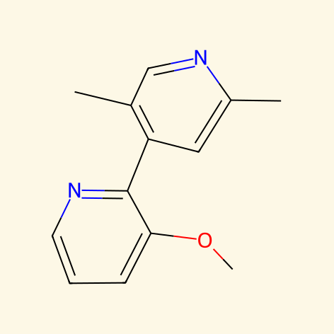 COc1cccnc1-c1cc(C)ncc1C